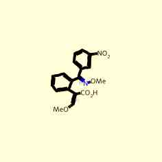 CO/C=C(/C(=O)O)c1ccccc1/C(=N/OC)c1cccc([N+](=O)[O-])c1